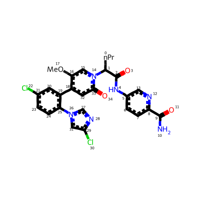 CCCC(C(=O)Nc1ccc(C(N)=O)nc1)n1cc(OC)c(-c2cc(Cl)ccc2-n2cnc(Cl)c2)cc1=O